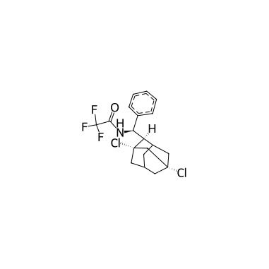 O=C(N[C@@H](c1ccccc1)[C@H]1C2CC3C[C@](Cl)(C2)C[C@@]1(Cl)C3)C(F)(F)F